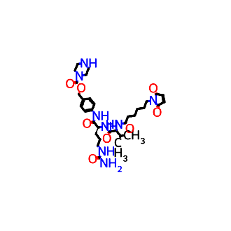 CC(C)C(NC(=O)CCCCCN1C(=O)C=CC1=O)C(=O)N[C@@H](CCCNC(N)=O)C(=O)Nc1ccc(COC(=O)N2CCNCC2)cc1